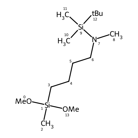 CO[Si](C)(CCCCN(C)[Si](C)(C)C(C)(C)C)OC